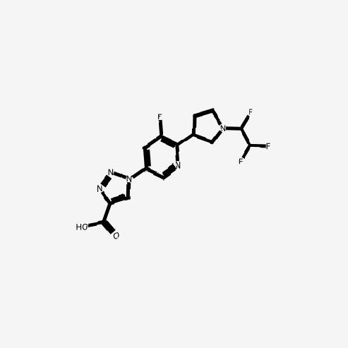 O=C(O)c1cn(-c2cnc(C3CCN(C(F)C(F)F)C3)c(F)c2)nn1